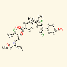 C=C(F)C(C/C=C(\C)COCC)OC(O)C1C=CC([C@](C)(CCC(CF)C2C=CC(O)CC2)C(C)F)CC1